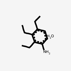 CCc1ccc(N)c(CC)c1CC.O